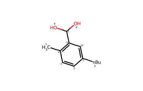 CCCCc1ccc(C)c(C(O)O)c1